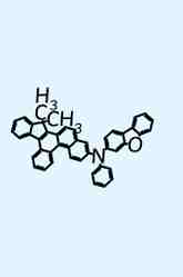 CC1(C)c2ccccc2-c2c1c1ccc3cc(N(c4ccccc4)c4ccc5c(c4)oc4ccccc45)ccc3c1c1ccccc21